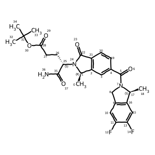 C[C@@H]1c2cc(C(=O)N3Cc4cc(F)c(F)cc4[C@@H]3C)ccc2C(=O)N1[C@@H](CCC(=O)OC(C)(C)C)C(N)=O